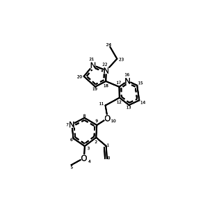 C=Cc1c(OC)cncc1OCc1cccnc1-c1ccnn1CC